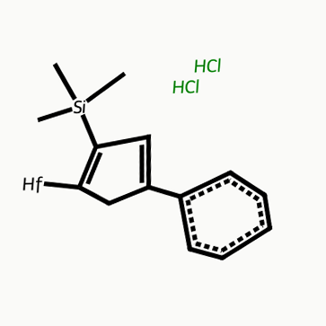 C[Si](C)(C)C1=[C]([Hf])CC(c2ccccc2)=C1.Cl.Cl